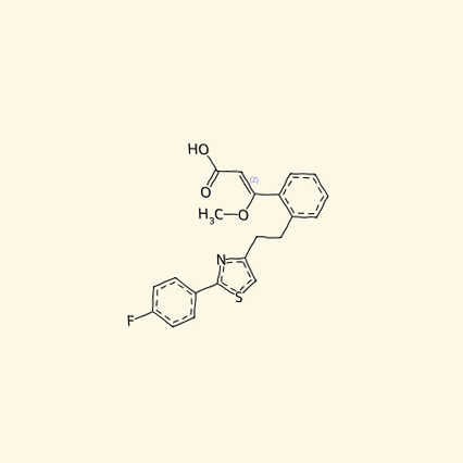 CO/C(=C\C(=O)O)c1ccccc1CCc1csc(-c2ccc(F)cc2)n1